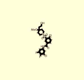 COC1(CCO)CCN(S(=O)(=O)c2cc(C(=O)Nc3cc(F)c(F)c(Cl)c3)ccc2Cl)CC1